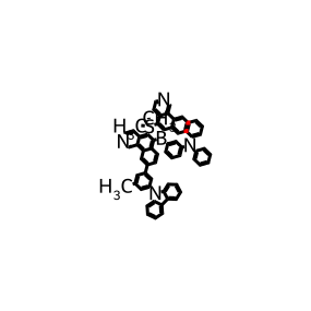 Cc1cc(-c2ccc3c4c(c5ccncc5c3c2)S(C)(C)c2c(c3ccccc3c3cnccc23)B4c2cccc(N(c3ccccc3)c3ccccc3)c2)cc(-n2c3ccccc3c3ccccc32)c1